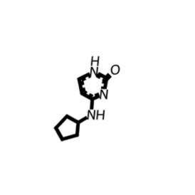 O=c1nc(NC2CCCC2)cc[nH]1